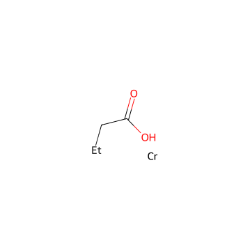 CCCC(=O)O.[Cr]